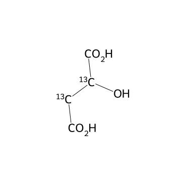 O=[13C](O)[13CH2][13CH](O)[13C](=O)O